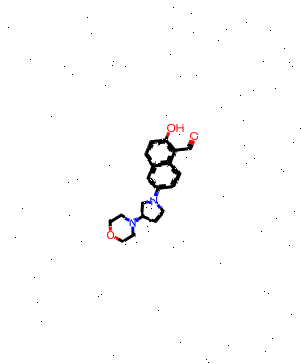 O=Cc1c(O)ccc2cc(N3CCC(N4CCOCC4)C3)ccc12